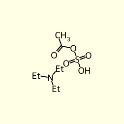 CC(=O)OS(=O)(=O)O.CCN(CC)CC